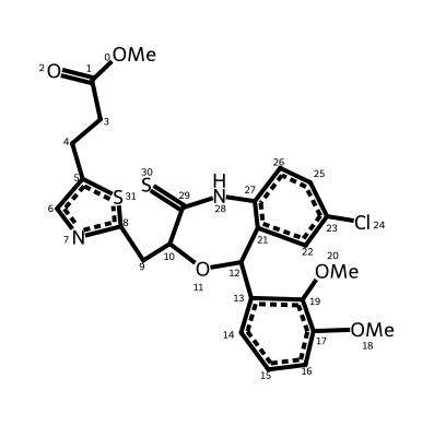 COC(=O)CCc1cnc(CC2OC(c3cccc(OC)c3OC)c3cc(Cl)ccc3NC2=S)s1